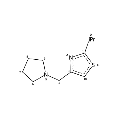 CC(C)c1nc(CN2CCCC2)cs1